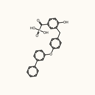 O=C(c1ccc(O)c(Cc2ccc(Oc3cccc(-c4ccccc4)c3)cc2)c1)P(=O)(O)O